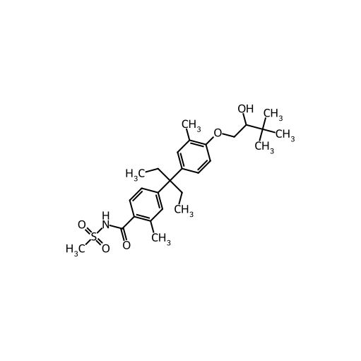 CCC(CC)(c1ccc(OCC(O)C(C)(C)C)c(C)c1)c1ccc(C(=O)NS(C)(=O)=O)c(C)c1